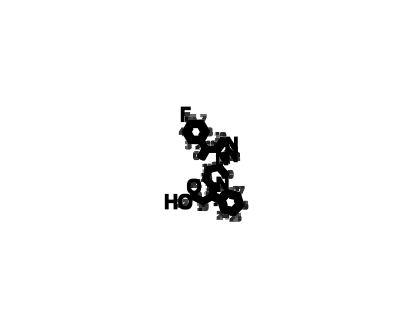 C=C(c1ccc(F)cc1)c1cnnn1C1CCc2c(CC(=O)O)c3ccccc3n2C1